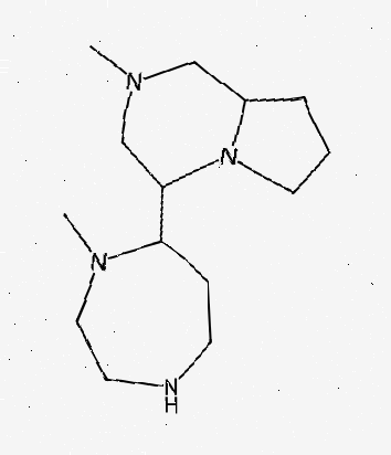 CN1CC2CCCN2C(C2CCNCCN2C)C1